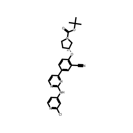 CC(C)(C)OC(=O)N1CC[C@@H](Oc2ccc(-c3ccnc(Nc4ccnc(Cl)c4)n3)cc2C#N)C1